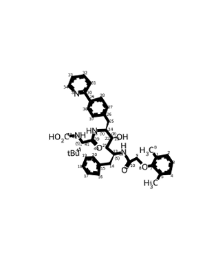 Cc1cccc(C)c1OCC(=O)N[C@@H](Cc1ccccc1)C[C@@H](O)[C@H](Cc1ccc(-c2ccccn2)cc1)NC(=O)[C@@H](NC(=O)O)C(C)(C)C